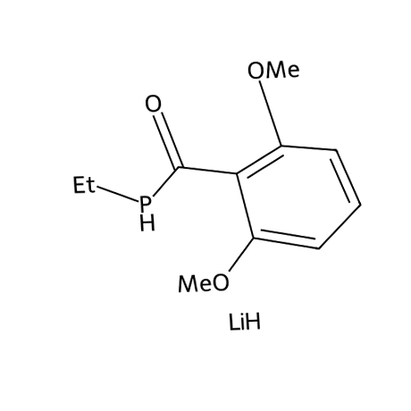 CCPC(=O)c1c(OC)cccc1OC.[LiH]